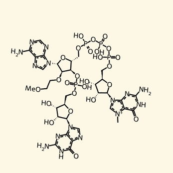 COCCO[C@@H]1[C@H](OP(=O)(O)OC[C@H]2O[C@@H](n3cnc4c(=O)[nH]c(N)nc43)[C@H](O)[C@@H]2O)[C@@H](COP(=O)(O)OP(=O)(O)OP(=O)(O)OC[C@H]2O[C@@H](n3c[n+](C)c4c(=O)[nH]c(N)nc43)[C@H](O)[C@@H]2O)O[C@H]1n1cnc2c(N)ncnc21